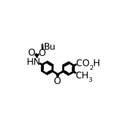 Cc1cc(C(=O)c2ccc(NC(=O)OC(C)(C)C)cc2)ccc1C(=O)O